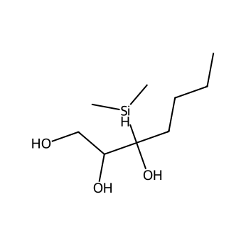 CCCCC(O)(C(O)CO)[SiH](C)C